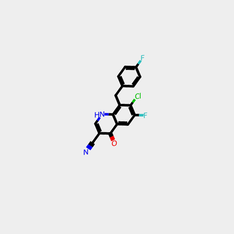 N#Cc1c[nH]c2c(Cc3ccc(F)cc3)c(Cl)c(F)cc2c1=O